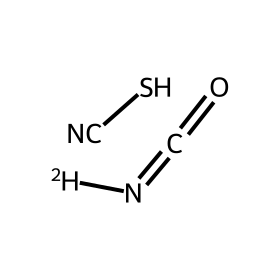 N#CS.[2H]N=C=O